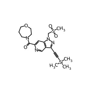 C[Si](C)(C)C#Cc1nn(CS(C)(=O)=O)c2cc(C(=O)N3CCCOCC3)ncc12